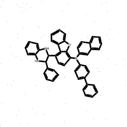 c1ccc(-c2ccc(N(c3ccc4ccccc4c3)c3ccc(C4Nc5ccccc5NC4c4ccccc4)c4c3oc3ccccc34)cc2)cc1